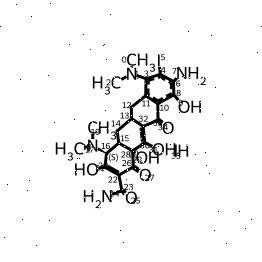 CN(C)c1c(I)c(N)c(O)c2c1CC1CC3[C@H](N(C)C)C(O)=C(C(N)=O)C(=O)[C@@]3(O)C(O)=C1C2=O.I